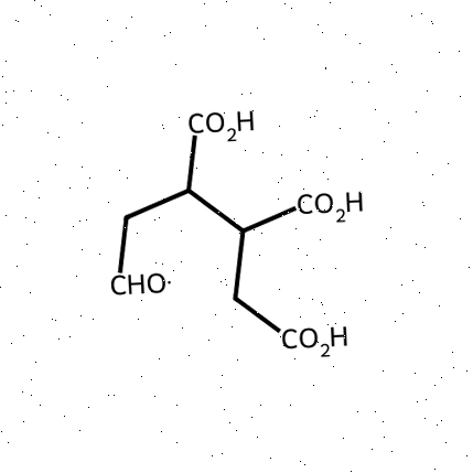 O=[C]CC(C(=O)O)C(CC(=O)O)C(=O)O